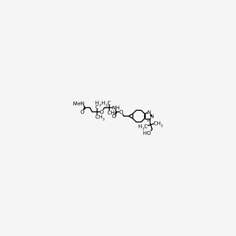 CNC(=O)CCC(C)(C)OCC(C)(C)NC(=O)OCC1C2CCc3nnn(C(C)(C)CO)c3CCC21